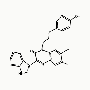 Cc1cc2nc(-c3c[nH]c4ccccc34)c(=O)n(CCCc3ccc(O)cc3)c2cc1C